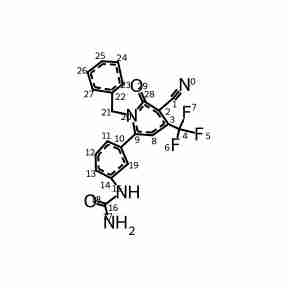 N#Cc1c(C(F)(F)F)cc(-c2cccc(NC(N)=O)c2)n(Cc2ccccc2)c1=O